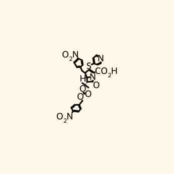 CC(C)(OC(=O)OCc1ccc([N+](=O)[O-])cc1)[C@H]1C(=O)N2C(C(=O)O)=C(Sc3ccncc3)C(Cc3ccc([N+](=O)[O-])cc3)[C@@H]12